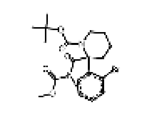 COC(=O)N(C)C(=O)C1(c2ccccc2Br)CCCCN1C(=O)OC(C)(C)C